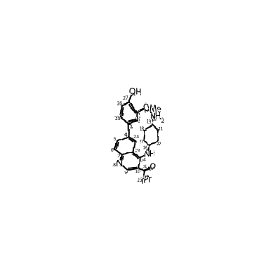 COc1cc(-c2ccc3ncc(C(=O)C(C)C)c(N[C@H]4CC[C@H](N)CC4)c3c2)ccc1O